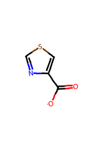 [O]C(=O)c1cscn1